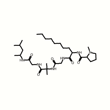 CCCCCCCCC(NC(=O)C1CCCN1C)C(=O)NCC(=O)NC(C)(C)C(=O)NCC(=O)NC(C)CC(C)C